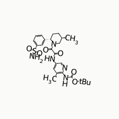 Cc1cc(NC(=O)C(=O)N2C[C@H](C)CC[C@H]2c2cccc(S(N)(=O)=O)c2)cnc1NC(=O)OC(C)(C)C